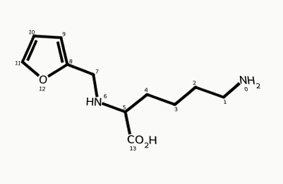 NCCCCC(NCc1ccco1)C(=O)O